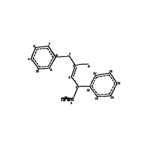 CCCCCC(C=C(C)Cc1ccccc1)c1ccccc1